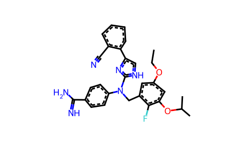 CCOc1cc(CN(c2ccc(C(=N)N)cc2)c2nc(-c3ccccc3C#N)c[nH]2)c(F)c(OC(C)C)c1